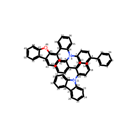 c1ccc(-c2ccc(N(c3ccccc3-c3ccccc3-n3c4ccccc4c4ccccc43)c3ccccc3-c3cccc4c3oc3ccccc34)cc2)cc1